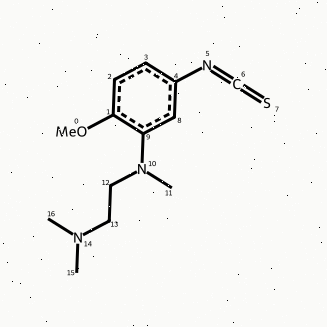 COc1ccc(N=C=S)cc1N(C)CCN(C)C